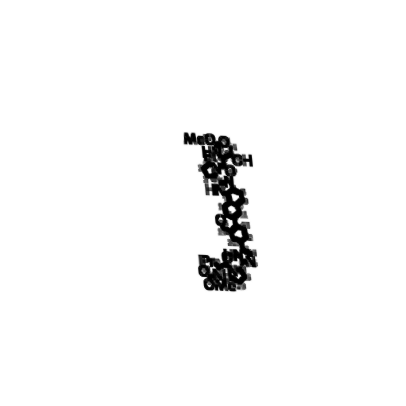 CC[C@H]1CC[C@@H](c2nc3ccc4cc5c(cc4c3[nH]2)OCc2cc(-c3cnc([C@@H]4CC[C@H](C)N4C(=O)C(NC(=O)OC)C(C)C)[nH]3)ccc2-5)N1C(=O)[C@@H](NC(=O)OC)[C@@H](C)O